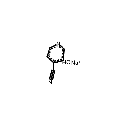 N#Cc1ccncc1.[Na+].[OH-]